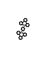 c1ccc2c(c1)-c1ccccc1N(c1ccc(N3c4ccccc4-c4ccccc4-c4ccccc43)cc1)c1ccccc1-2